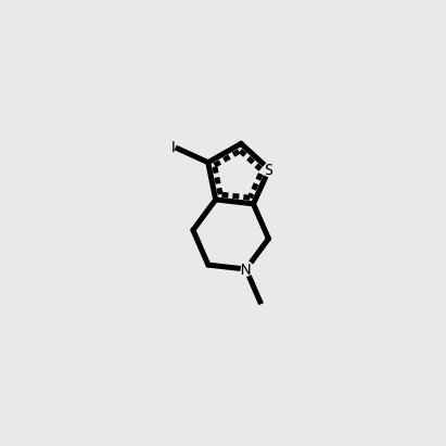 CN1CCc2c(I)csc2C1